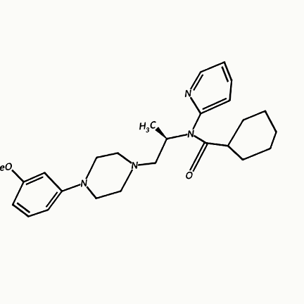 COc1cccc(N2CCN(C[C@@H](C)N(C(=O)C3CCCCC3)c3ccccn3)CC2)c1